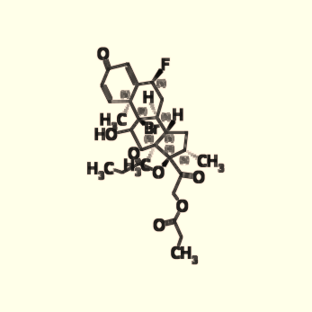 CCC(=O)OCC(=O)[C@@]1(OC(=O)CC)[C@@H](C)C[C@H]2[C@@H]3C[C@H](F)C4=CC(=O)C=C[C@]4(C)[C@@]3(Br)C(O)C[C@@]21C